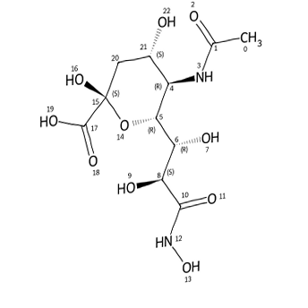 CC(=O)N[C@H]1[C@H]([C@H](O)[C@H](O)C(=O)NO)O[C@](O)(C(=O)O)C[C@@H]1O